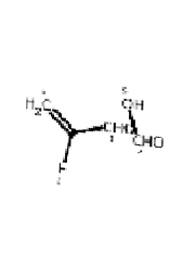 C=C(F)C=O.O=CO